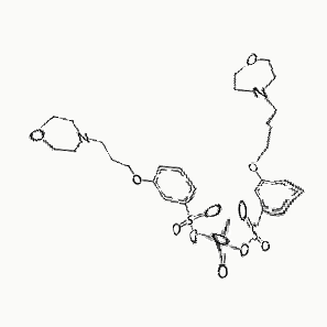 CP(=O)(OS(=O)(=O)c1cccc(OCCCN2CCOCC2)c1)OS(=O)(=O)c1cccc(OCCCN2CCOCC2)c1